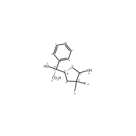 O=C(O)[C@](O)(c1ccccc1)[C@@H]1CC(O)C(F)(F)C1